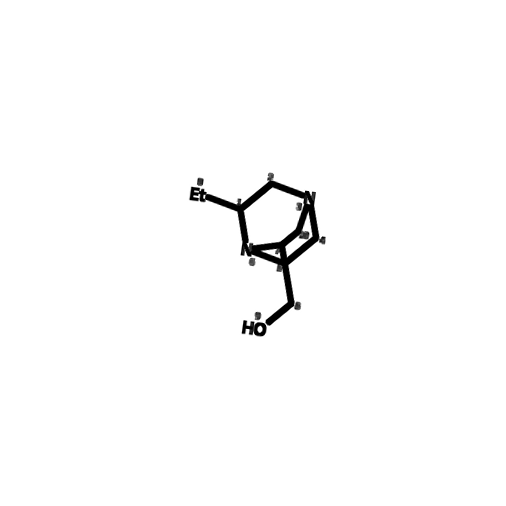 CCC1CN2CCN1C(CO)C2